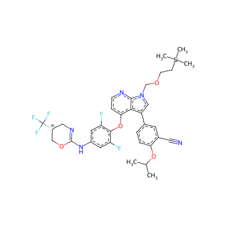 CC(C)Oc1ccc(-c2cn(COCC[Si](C)(C)C)c3nccc(Oc4c(F)cc(NC5=NC[C@@H](C(F)(F)F)CO5)cc4F)c23)cc1C#N